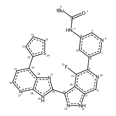 CC(C)(C)C(=O)Nc1cncc(-c2ncc3[nH]nc(-c4nc5c(-c6cccs6)ccnc5[nH]4)c3c2F)c1